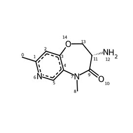 Cc1cc2c(cn1)N(C)C(=O)[C@@H](N)CO2